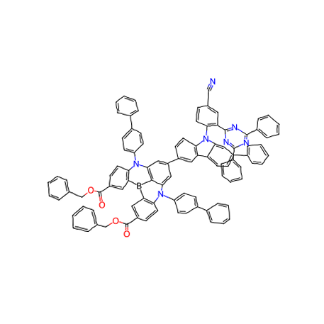 N#Cc1ccc(-n2c3ccc(-c4cc5c6c(c4)N(c4ccc(-c7ccccc7)cc4)c4ccc(C(=O)OCc7ccccc7)cc4B6c4cc(C(=O)OCc6ccccc6)ccc4N5c4ccc(-c5ccccc5)cc4)cc3c3ccc(-c4ccccc4)cc32)c(-c2nc(-c3ccccc3)nc(-c3ccccc3)n2)c1